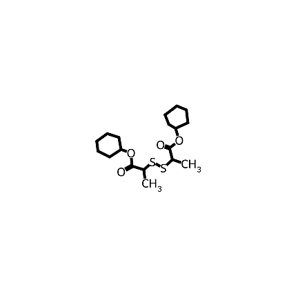 CC(SSC(C)C(=O)OC1CCCCC1)C(=O)OC1CCCCC1